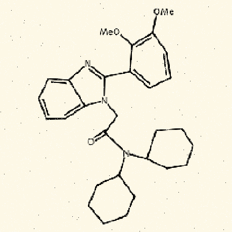 COc1cccc(-c2nc3ccccc3n2CC(=O)N(C2CCCCC2)C2CCCCC2)c1OC